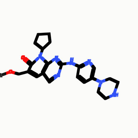 CCOCc1cc2cnc(Nc3ccc(N4CCNCC4)cn3)nc2n(C2CCCC2)c1=O